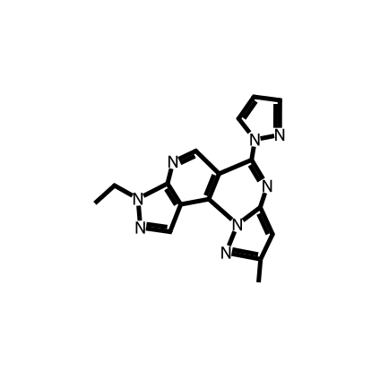 CCn1ncc2c1ncc1c(-n3cccn3)nc3cc(C)nn3c12